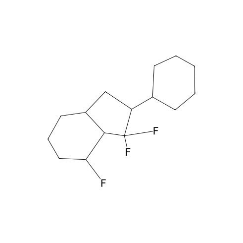 FC1CCCC2CC(C3CCCCC3)C(F)(F)C12